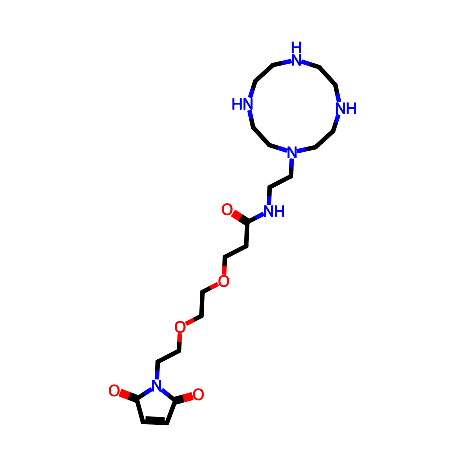 O=C(CCOCCOCCN1C(=O)C=CC1=O)NCCN1CCNCCNCCNCC1